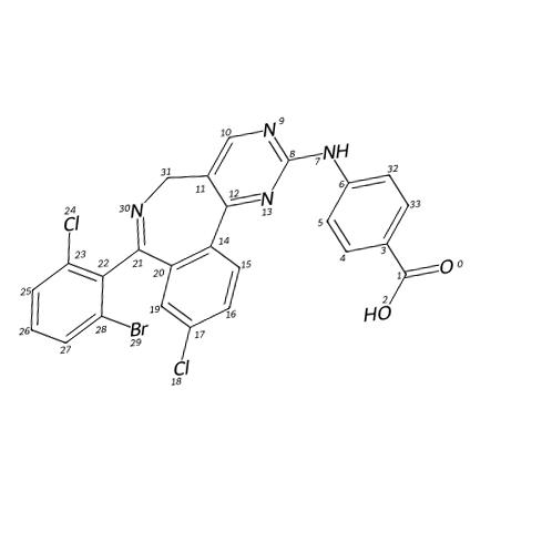 O=C(O)c1ccc(Nc2ncc3c(n2)-c2ccc(Cl)cc2C(c2c(Cl)cccc2Br)=NC3)cc1